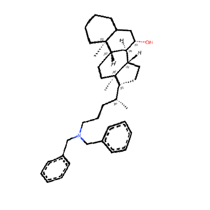 C[C@H](CCCN(Cc1ccccc1)Cc1ccccc1)[C@H]1CC[C@H]2[C@@H]3[C@@H](O)CC4CCCC[C@]4(C)[C@H]3CC[C@]12C